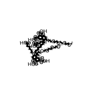 COCCOCCOCCOCCNc1ccc2c(S(=O)(=O)O)cc(S(=O)(=O)O)cc2c1C(C)(C/C=C/C=C/C=C1/N(CCCCCC(=O)O)c2ccc3c(S(=O)(=O)O)cc(S(=O)(=O)O)cc3c2C1(C)CCOCCOCCOCCOC)CCCS(=O)(=O)O